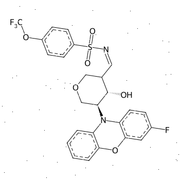 O=S(=O)(/N=C\C1COC[C@H](N2c3ccccc3Oc3cc(F)ccc32)[C@H]1O)c1ccc(OC(F)(F)F)cc1